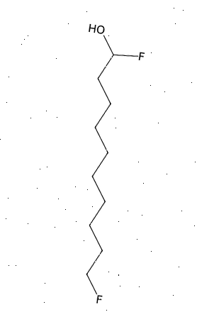 OC(F)CCCCCCCCCF